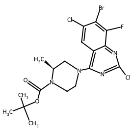 C[C@H]1CN(c2nc(Cl)nc3c(F)c(Br)c(Cl)cc23)CCN1C(=O)OC(C)(C)C